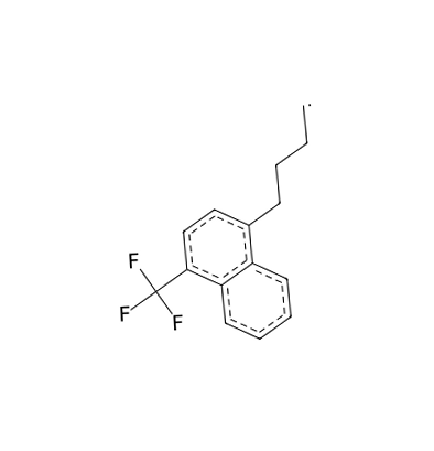 [CH2]CCCc1ccc(C(F)(F)F)c2ccccc12